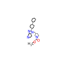 COCC(=O)N1CC[C@H](Cn2c(-c3ccc(-c4ccccc4)cc3)nc3cnccc32)C1